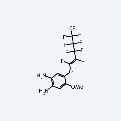 COc1cc(N)c(N)cc1OC(F)=C(F)C(F)(F)C(F)(F)C(F)(F)C(F)(F)F